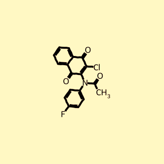 CC(=O)N(C1=C(Cl)C(=O)c2ccccc2C1=O)c1ccc(F)cc1